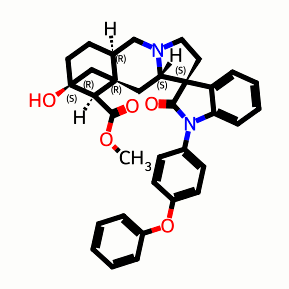 COC(=O)[C@H]1[C@]2(O)CC[C@H]3CN4CC[C@@]5(C(=O)N(c6ccc(Oc7ccccc7)cc6)c6ccccc65)[C@@H]4C[C@@]31C2